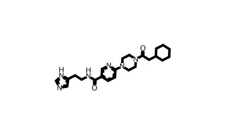 O=C(NCCc1cnc[nH]1)c1ccc(N2CCN(C(=O)CC3CCCCC3)CC2)nc1